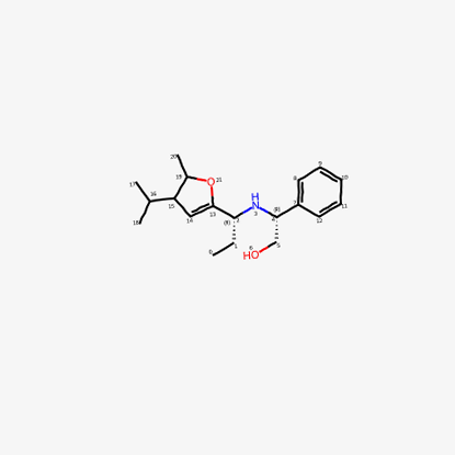 CC[C@@H](N[C@@H](CO)c1ccccc1)C1=CC(C(C)C)C(C)O1